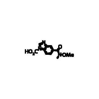 CON(C)C(=O)c1ccc2c(c1)ncn2C(=O)O